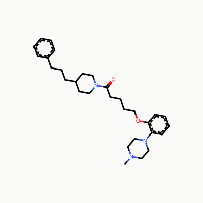 CN1CCN(c2ccccc2OCCCCC(=O)N2CCC(CCCc3ccccc3)CC2)CC1